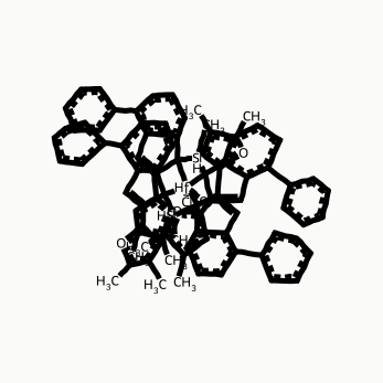 Cc1cc(C2=Cc3c(-c4ccccc4)cccc3[C]23[SiH](C)[C]2(C(c4cc(C)c(C)o4)=Cc4c(-c5ccccc5)cccc42)[Hf]32([Cl])([Cl])[C]3(C(c4cc(C)c(C)o4)=Cc4c(-c5ccccc5)cccc43)[SiH](C)[C]23C(c2cc(C)c(C)o2)=Cc2c(-c4ccccc4)cccc23)oc1C